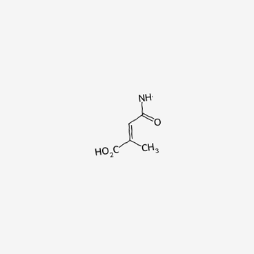 CC(=CC([NH])=O)C(=O)O